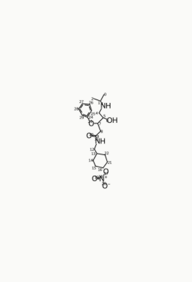 CC(C)NCC(O)C(CC(=O)NCC1CCC(O[N+](=O)[O-])CC1)Oc1ccccc1